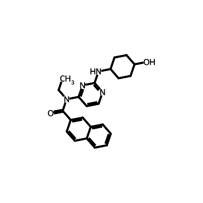 CCN(C(=O)c1ccc2ccccc2c1)c1ccnc(NC2CCC(O)CC2)n1